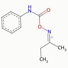 CC/C(C)=N\OC(=O)Nc1ccccc1